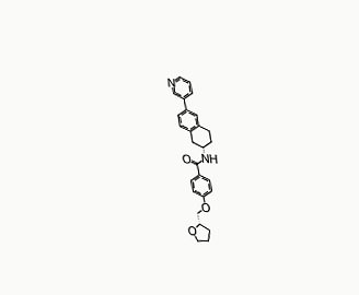 O=C(N[C@H]1CCc2cc(-c3cccnc3)ccc2C1)c1ccc(OC[C@@H]2CCCO2)cc1